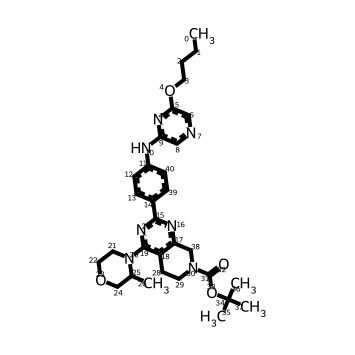 CCCCOc1cncc(Nc2ccc(-c3nc4c(c(N5CCOCC5C)n3)CCN(C(=O)OC(C)(C)C)C4)cc2)n1